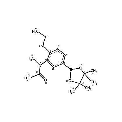 CCOc1ncc(B2OC(C)(C)C(C)(C)O2)cc1N(C)C(C)=O